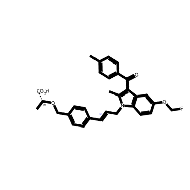 Cc1ccc(C(=O)c2c(C)n(C/C=C/c3ccc(CO[C@H](C)C(=O)O)cc3)c3ccc(OCF)cc23)cc1